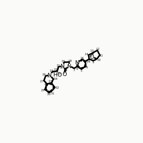 O=C1N(Cc2ccc(C3CC4CCC(C3)O4)cn2)CCN1C[C@H](O)CN1CCc2ccccc2C1